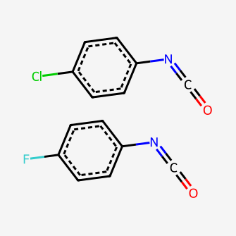 O=C=Nc1ccc(Cl)cc1.O=C=Nc1ccc(F)cc1